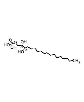 CCCCCCCCCCCCCCC[C@@H](O)[C@@H](O)COP(=O)(O)O